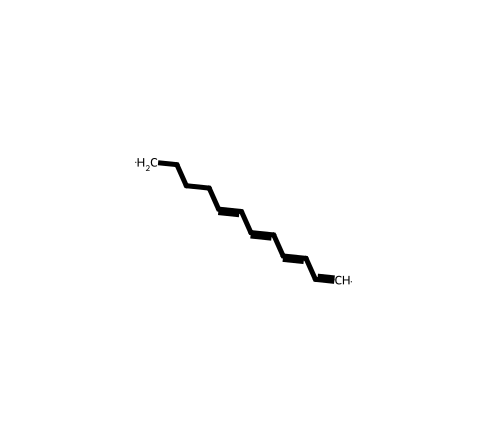 [CH]=CC=CC=CC=CCCC[CH2]